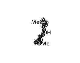 COc1ccccc1-c1cc2ccc(OCC(O)COc3ccc4cc(-c5ccccc5OC)c(=O)oc4c3)cc2oc1=O